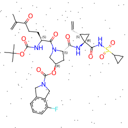 C=C[C@@H]1C[C@]1(NC(=O)[C@@H]1C[C@@H](OC(=O)N2Cc3cccc(F)c3C2)CN1C(=O)[C@H](CCC(=O)C(=C)C)NC(=O)OC(C)(C)C)C(=O)NS(=O)(=O)C1CC1